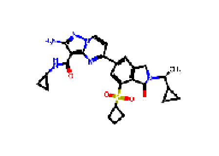 C[C@@H](C1CC1)N1Cc2cc(-c3ccn4nc(N)c(C(=O)NC5CC5)c4n3)cc(S(=O)(=O)C3CCC3)c2C1=O